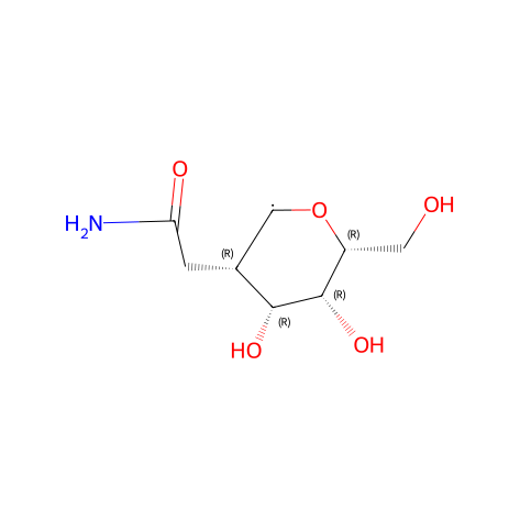 NC(=O)C[C@@H]1[CH]O[C@H](CO)[C@H](O)[C@@H]1O